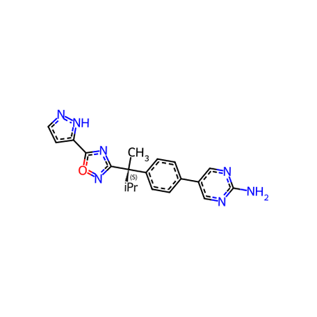 CC(C)[C@@](C)(c1ccc(-c2cnc(N)nc2)cc1)c1noc(-c2ccn[nH]2)n1